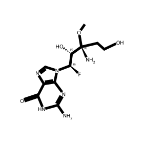 CO[C@](N)(CCO)[C@@H](O)[C@@H](F)n1cnc2c(=O)[nH]c(N)nc21